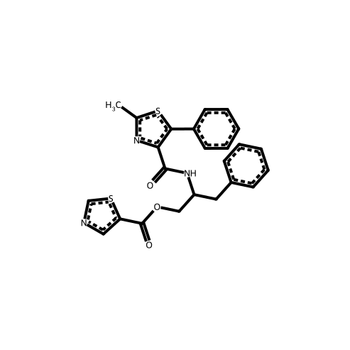 Cc1nc(C(=O)NC(COC(=O)c2cncs2)Cc2ccccc2)c(-c2ccccc2)s1